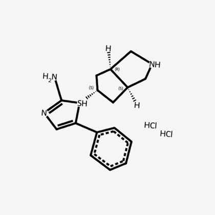 Cl.Cl.NC1=NC=C(c2ccccc2)[SH]1[C@@H]1C[C@H]2CNC[C@H]2C1